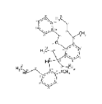 CCCC(C)c1cccc(C(CC)(CC)Pc2c(C)cccc2CPC)c1OCc1ccccc1